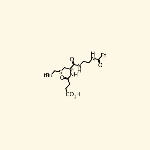 CCC(=O)NCCNC(=O)[C@H](CSCC(C)(C)C)NC(=O)CCC(=O)O